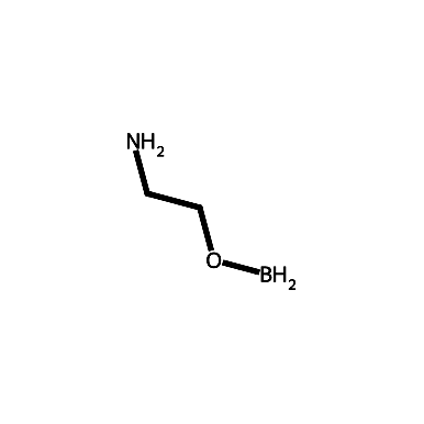 BOCCN